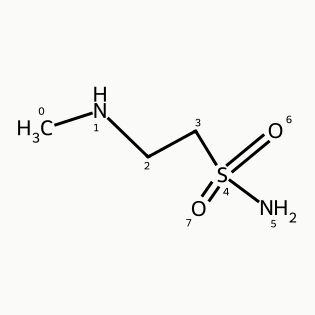 CNCCS(N)(=O)=O